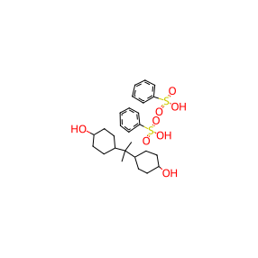 CC(C)(C1CCC(O)CC1)C1CCC(O)CC1.O=S(=O)(O)c1ccccc1.O=S(=O)(O)c1ccccc1